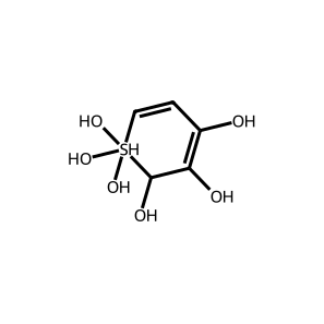 OC1=C(O)C(O)[SH](O)(O)(O)C=C1